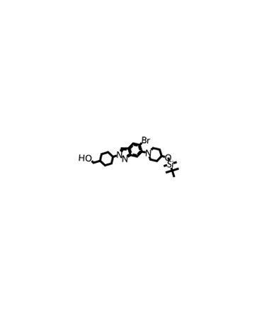 CC(C)(C)[Si](C)(C)OC1CCN(c2cc3nn(C4CCC(CO)CC4)cc3cc2Br)CC1